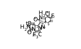 CC(C)(C)C1c2c(C(N)=O)c(-c3ccc(F)c(Cl)c3)nn2CC(C(F)(F)F)N1C(N)=O